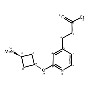 CCC(=O)CCc1ccnc(O[C@H]2C[C@H](NC)C2)c1